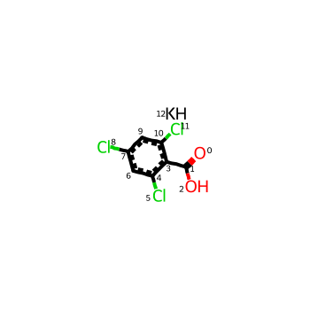 O=C(O)c1c(Cl)cc(Cl)cc1Cl.[KH]